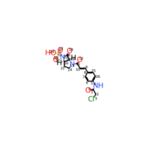 O=C(CCl)Nc1ccc(/C=C/C(=O)N2CC[C@@H]3[C@H]2C(=O)N3S(=O)(=O)O)cc1